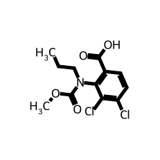 CCCN(C(=O)OC)c1c(C(=O)O)ccc(Cl)c1Cl